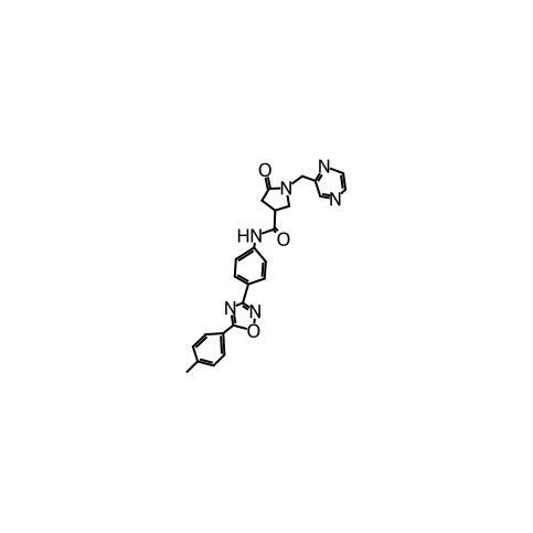 Cc1ccc(-c2nc(-c3ccc(NC(=O)C4CC(=O)N(Cc5cnccn5)C4)cc3)no2)cc1